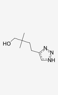 CC(C)(CO)CCc1c[nH]nn1